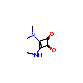 CNc1c(N(C)C)c(=O)c1=O